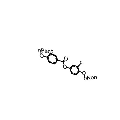 CCCCCCCCCOc1ccc(OC(=O)c2ccc(OCCCCC)cc2)cc1F